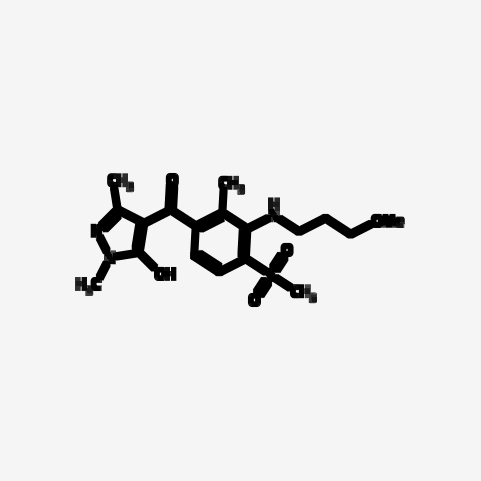 COCCCNc1c(S(C)(=O)=O)ccc(C(=O)c2c(C)nn(C)c2O)c1C